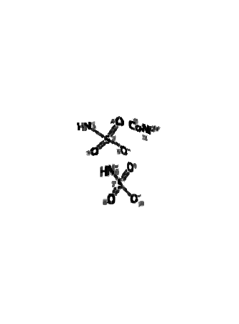 [Co+2].[NH-]S(=O)(=O)[O-].[NH-]S(=O)(=O)[O-].[Ni+2]